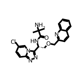 CC(C)(N)C(=O)N[C@H](COCc1ccc2ccccc2n1)c1nnc2ccc(Cl)cn12